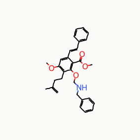 C=C(C)CCc1c(OC)cc(C=Cc2ccccc2)c(C(=O)OC)c1OCNCc1ccccc1